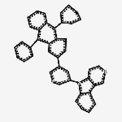 c1ccc(-c2c3ccccc3c(-c3ccccc3)c3cc(-c4cncc(-n5c6ccccc6c6cnccc65)c4)ccc23)cc1